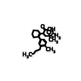 CCCCc1cc(C2=C(C(CC(C)(C)C)C(=O)O)CCCC2)ccc1C